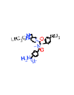 CCOC(=O)Cn1ncc2c1CCN(C(=O)[C@H](Cc1ccc([N+](=O)[O-])cc1)NC(=O)c1ccc(C(=N)N)cc1)C2